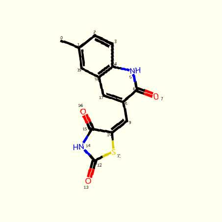 Cc1ccc2[nH]c(=O)c(C=C3SC(=O)NC3=O)cc2c1